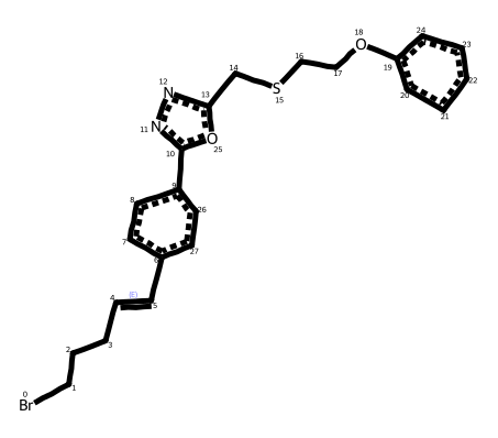 BrCCC/C=C/c1ccc(-c2nnc(CSCCOc3ccccc3)o2)cc1